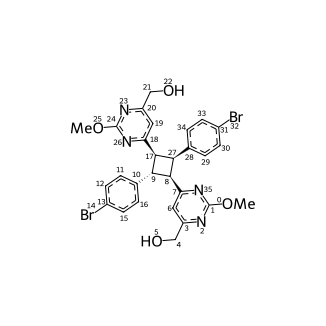 COc1nc(CO)cc([C@H]2[C@H](c3ccc(Br)cc3)[C@@H](c3cc(CO)nc(OC)n3)[C@H]2c2ccc(Br)cc2)n1